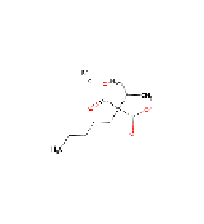 CCCCCC(C(=O)[O-])(C(=O)[O-])C(C)C.[K+].[K+]